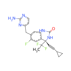 CC(F)(F)[C@@]1(C#CC2CC2)NC(=O)Nc2cc(Cc3ccnc(N)n3)c(F)cc21